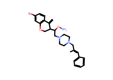 C=C1c2ccc(Br)cc2OCC1C(CN1CCN(C/C(C)=C/c2ccccc2)CC1)ON